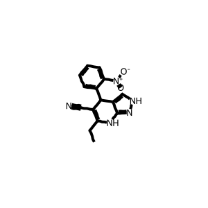 CCC1=C(C#N)C(c2ccccc2[N+](=O)[O-])c2c[nH]nc2N1